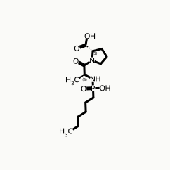 CCCCCCP(=O)(O)N[C@@H](C)C(=O)N1CCC[C@H]1C(=O)O